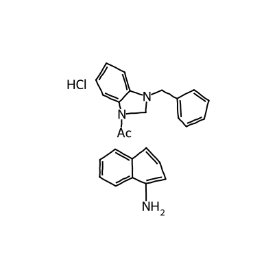 CC(=O)N1CN(Cc2ccccc2)c2ccccc21.Cl.Nc1cccc2ccccc12